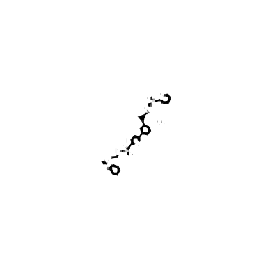 COc1ccc(-c2ccc(-c3nnc(NC(=O)Cn4c(=O)[nH]c5ccccc54)[nH]3)nc2)cc1C1CC1C(=O)Nc1nnc(-c2ccccn2)[nH]1